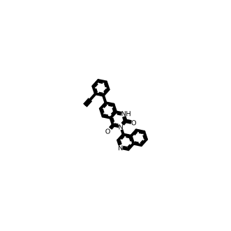 C#Cc1ccccc1-c1ccc2c(=O)n(-c3cncc4ccccc34)c(=O)[nH]c2c1